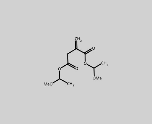 C=C(CC(=O)OC(C)OC)C(=O)OC(C)OC